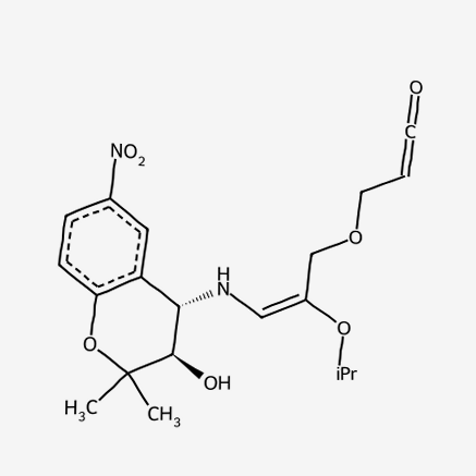 CC(C)O/C(=C/N[C@H]1c2cc([N+](=O)[O-])ccc2OC(C)(C)[C@@H]1O)COCC=C=O